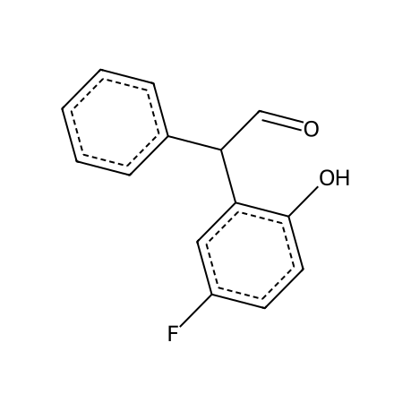 O=CC(c1ccccc1)c1cc(F)ccc1O